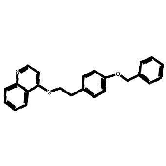 c1ccc(COc2ccc(CCSc3ccnc4ccccc34)cc2)cc1